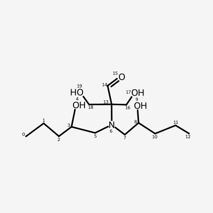 CCCC(O)CN(CC(O)CCC)C(C=O)(CO)CO